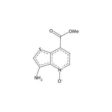 COC(=O)c1cc[n+]([O-])c2c(N)csc12